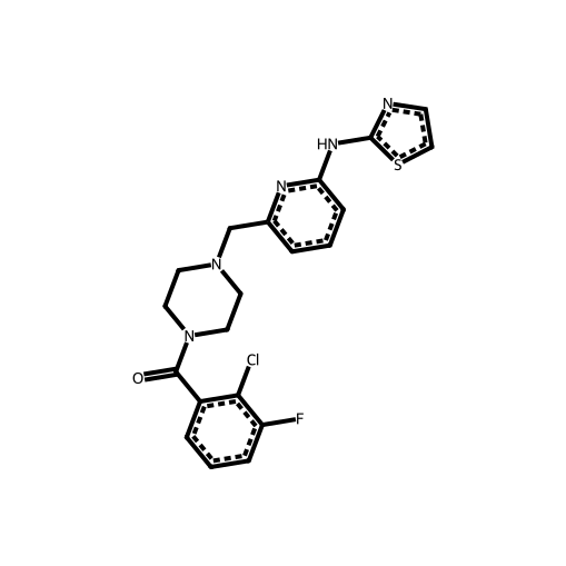 O=C(c1cccc(F)c1Cl)N1CCN(Cc2cccc(Nc3nccs3)n2)CC1